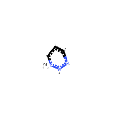 [Pd].c1cnnnc1